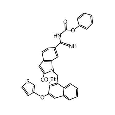 CCOC(=O)c1cc2ccc(C(=N)NC(=O)Oc3ccccc3)cc2n1Cc1cc(Oc2ccsc2)cc2ccccc12